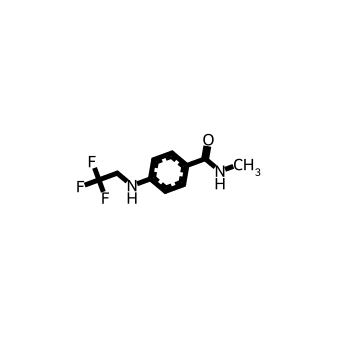 CNC(=O)c1ccc(NCC(F)(F)F)cc1